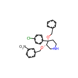 O=[N+]([O-])c1cccc(CO[C@H]2CNCC[C@]2(OCc2ccccc2)c2ccc(Cl)cc2)c1